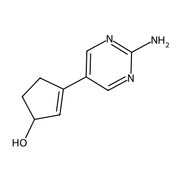 Nc1ncc(C2=CC(O)CC2)cn1